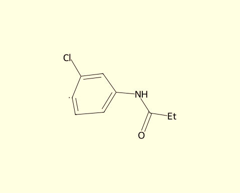 CCC(=O)Nc1cc[c]c(Cl)c1